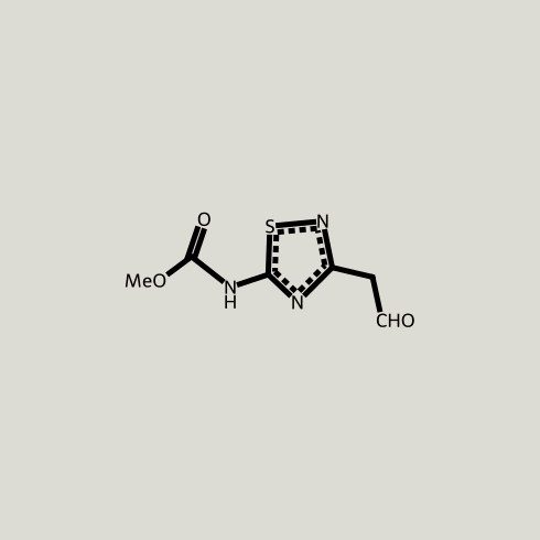 COC(=O)Nc1nc(CC=O)ns1